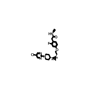 C#CNC(=O)Cc1ccc(OCC[C@@H]2C[C@@H]2C2CCN(c3ncc(Cl)cn3)CC2)cc1F